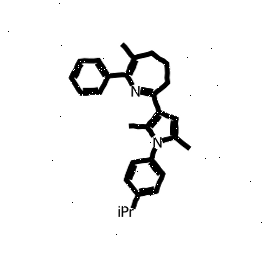 CC1=C(c2ccccc2)N=C(c2cc(C)n(-c3ccc(C(C)C)cc3)c2C)CCC1